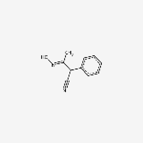 C/C(=N\O)C(C#N)c1ccccc1